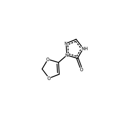 O=c1[nH]cnn1C1=COCO1